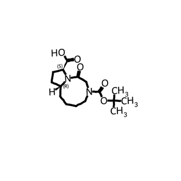 CC(C)(C)OC(=O)N1CCCC[C@@H]2CC[C@@H](C(=O)O)N2C(=O)C1